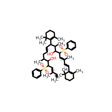 C=C/C(C)=C/C(C(O)C(C)C/C=C/C(C1=C(C)CCCC1(C)C)C(C)C(O)C(/C=C(C)/C=C/C1=C(C)CCCC1(C)C)S(=O)(=O)c1ccccc1)S(=O)(=O)c1ccccc1